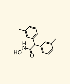 Cc1cccc(C(C(=O)NO)c2cccc(C)c2)c1